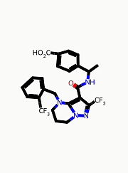 CC(NC(=O)c1c(C(F)(F)F)nn2c1N(Cc1ccccc1C(F)(F)F)CCC2)c1ccc(C(=O)O)cc1